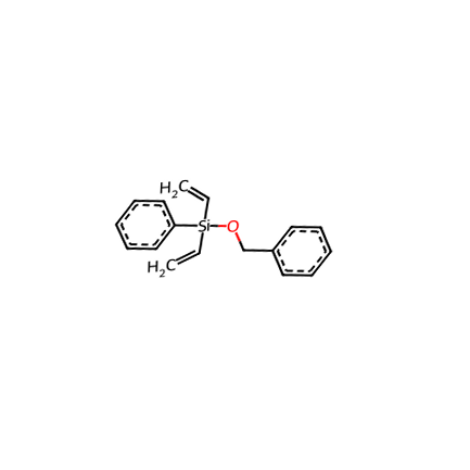 C=C[Si](C=C)(OCc1ccccc1)c1ccccc1